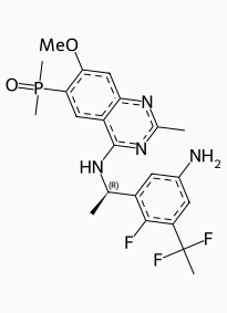 COc1cc2nc(C)nc(N[C@H](C)c3cc(N)cc(C(C)(F)F)c3F)c2cc1P(C)(C)=O